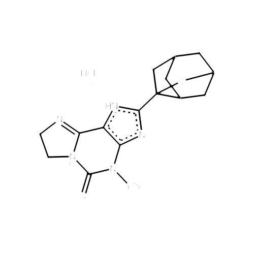 CCCN1C(=O)N2CCN=C2c2[nH]c(C34CC5CC(CC3C5)C4)nc21.Cl